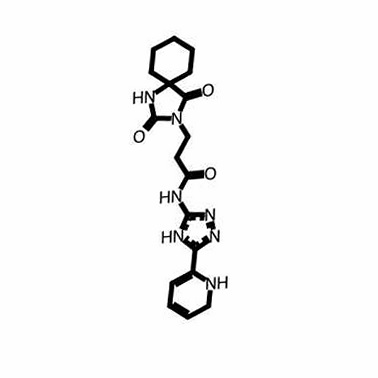 O=C(CCN1C(=O)NC2(CCCCC2)C1=O)Nc1nnc(C2=CC=CCN2)[nH]1